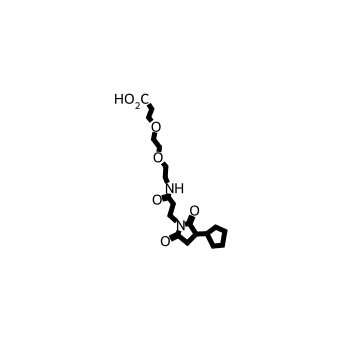 O=C(O)CCOCCOCCNC(=O)CCN1C(=O)CC(C2CCCC2)C1=O